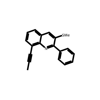 CC#Cc1cccc2cc(SC)c(-c3ccccc3)nc12